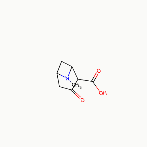 CN1C2CC(=O)C(C(=O)O)C1C2